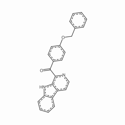 O=C(c1ccc(OCc2ccccc2)cc1)c1nccc2c1[nH]c1ccccc12